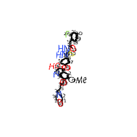 COc1cc2c(Oc3ccc(NC(=S)NC(=O)Cc4ccccc4F)cc3O)ccnc2cc1OCCCN1CCOCC1